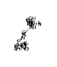 Cc1cc([C@H](C(=O)N2C[C@H](O)C[C@H]2C(=O)N[C@@H](CC(=O)NCCCCCCC(=O)N2CCN(Cc3cccc(-c4ccc(N5CCN(C)CC5)c(NC(=O)c5c[nH]c(=O)cc5C(F)(F)F)c4)c3)CC2)c2ccc(-c3scnc3C)cc2)C(C)C)on1